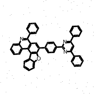 c1ccc(-c2cc(-c3ccccc3)nc(-c3ccc(-c4cc5c(-c6ccccc6)nc6ccccc6c5c5c4oc4ccccc45)cc3)n2)cc1